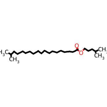 CC(C)CCCCCCCCCCCCCCCCC(=O)OCCCC(C)C